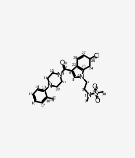 CN(CCn1cc(C(=O)N2CCN(c3ccccc3F)CC2)c2c1CC(Cl)C=C2)S(C)(=O)=O